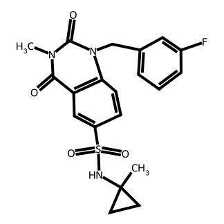 Cn1c(=O)c2cc(S(=O)(=O)NC3(C)CC3)ccc2n(Cc2cccc(F)c2)c1=O